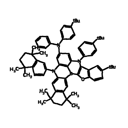 CC(C)(C)c1ccc(N(c2ccccc2)c2cc3c4c(c2)N(c2ccc(C(C)(C)C)cc2)c2c(oc5ccc(C(C)(C)C)cc25)B4c2cc4c(cc2N3c2ccc3c(c2)C(C)(C)CCC3(C)C)C(C)(C)CCC4(C)C)cc1